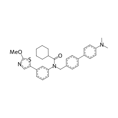 COc1ncc(-c2cccc(N(Cc3ccc(-c4ccc(N(C)C)cc4)cc3)C(=O)C3CCCCC3)c2)s1